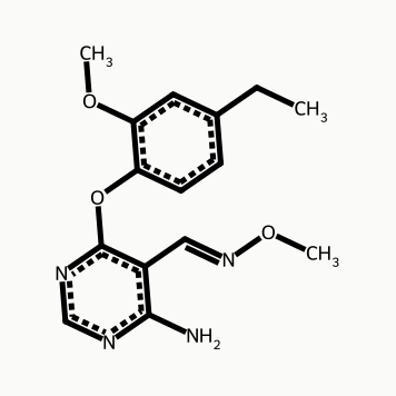 CCc1ccc(Oc2ncnc(N)c2C=NOC)c(OC)c1